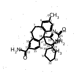 Cc1ccc2c(c1)CCc1cc(C(N)=O)ccc1C2(C[C@H](C)N)c1nc(=O)on1C1CCCCC1